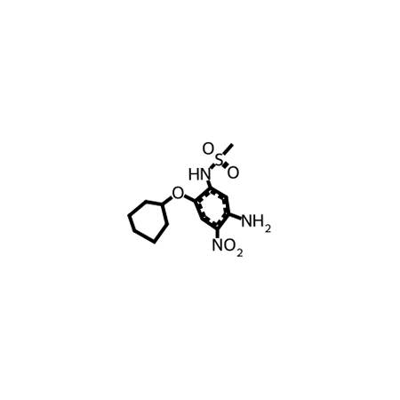 CS(=O)(=O)Nc1cc(N)c([N+](=O)[O-])cc1OC1CCCCC1